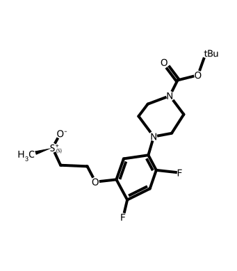 C[S@@+]([O-])CCOc1cc(N2CCN(C(=O)OC(C)(C)C)CC2)c(F)cc1F